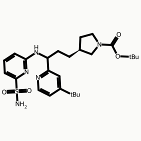 CC(C)(C)OC(=O)N1CC[C@H](CCC(Nc2cccc(S(N)(=O)=O)n2)c2cc(C(C)(C)C)ccn2)C1